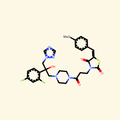 COc1ccc(C=C2SC(=O)N(CCC(=O)N3CCN(CC(O)(Cn4cncn4)c4ccc(F)cc4F)CC3)C2=O)cc1